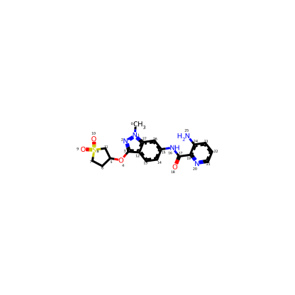 Cn1nc(OC2CCS(=O)(=O)C2)c2ccc(NC(=O)c3ncccc3N)cc21